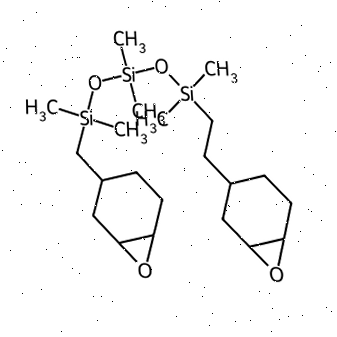 C[Si](C)(CCC1CCC2OC2C1)O[Si](C)(C)O[Si](C)(C)CC1CCC2OC2C1